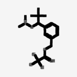 C[SiH](C)OC(c1cccc(COC(=N)C(Cl)(Cl)Cl)c1)C(C)(C)C